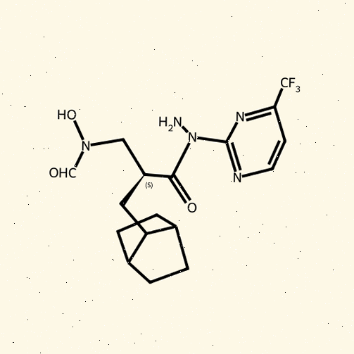 NN(C(=O)[C@@H](CC1C2CCC1CC2)CN(O)C=O)c1nccc(C(F)(F)F)n1